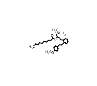 CCCCCCCCCC(=O)O[C@H](CCc1ccccc1CCc1ccc(OC)cc1)CN(C)C